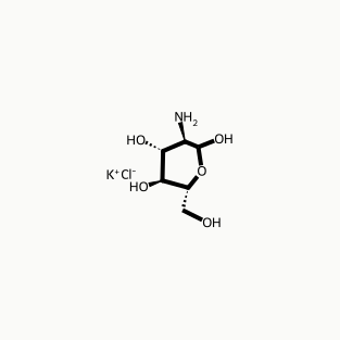 N[C@H]1C(O)O[C@H](CO)[C@@H](O)[C@@H]1O.[Cl-].[K+]